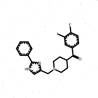 O=C(c1ccc(F)c(I)c1)C1CCN(Cc2c[nH]c(-c3ccccc3)n2)CC1